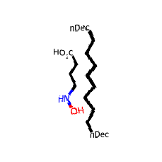 CCCCCCCCCCCCCCCCCCCCCCCCCCCC.O=C(O)CCCNO